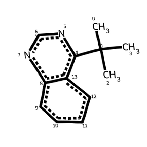 CC(C)(C)c1n[c]nc2ccccc12